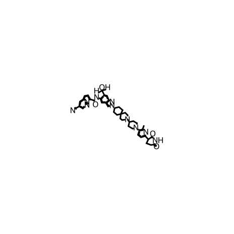 Cc1nc(C2CCC(=O)NC2=O)ccc1N1CCC(N2CCC3(CCC(n4cc5cc(NC(=O)c6ccc7cc(C#N)cnn67)c(C(C)(C)O)cc5n4)CC3)CC2)CC1